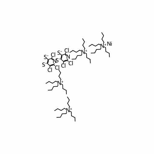 CCCC[N+](CCCC)(CCCC)CCCC.CCCC[N+](CCCC)(CCCC)CCCC.CCCC[N+](CCCC)(CCCC)CCCC.CCCC[N+](CCCC)(CCCC)CCCC.[Ni].[S-]c1c(Cl)nc(Cl)c(Cl)c1[S-].[S-]c1c(Cl)nc(Cl)c(Cl)c1[S-]